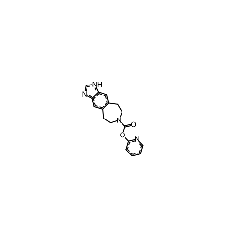 O=C(Oc1ccccn1)N1CCc2cc3nc[nH]c3cc2CC1